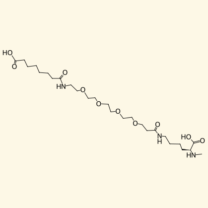 CN[C@@H](CCCCNC(=O)CCOCCOCCOCCOCCNC(=O)CCCCCCC(=O)O)C(=O)O